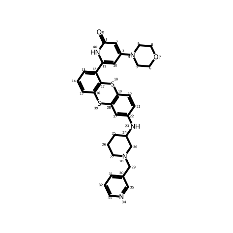 O=c1cc(N2CCOCC2)cc(-c2cccc3c2Sc2ccc(NC4CCCN(Cc5cccnc5)C4)cc2S3)[nH]1